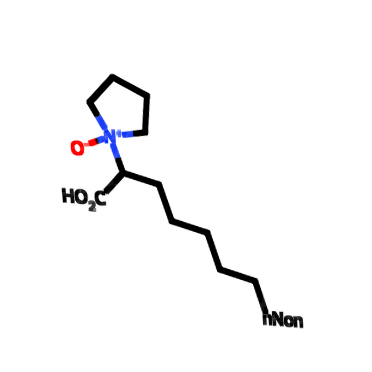 CCCCCCCCCCCCCCC(C(=O)O)[N+]1([O-])CCCC1